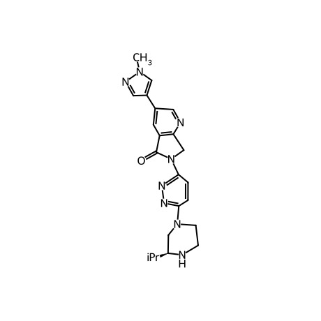 CC(C)[C@H]1CN(c2ccc(N3Cc4ncc(-c5cnn(C)c5)cc4C3=O)nn2)CCN1